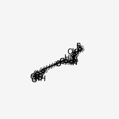 O=C1NC(=O)c2c(Oc3ccc(CCCCCCCCCOCCOc4ccc(-c5ccc6ncnc(Nc7ccc(OCc8cccc(F)c8)c(Cl)c7)c6c5)cc4)cc3)cccc2C1=O